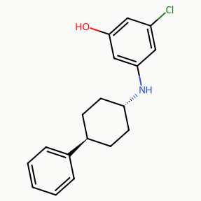 Oc1cc(Cl)cc(N[C@H]2CC[C@H](c3ccccc3)CC2)c1